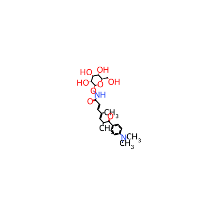 CC(/C=C/C(=O)NO[C@@H]1O[C@H](CO)[C@@H](O)[C@H](O)[C@H]1O)=C\C(C)C(=O)c1ccc(N(C)C)cc1